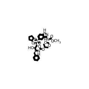 COC(=O)Nc1n[nH]c2ccc(S(=O)(=O)N(C[C@@H](O)[C@H](Cc3ccccc3)NC(=O)OC3COCOC3)OC3CCCC3)cc12